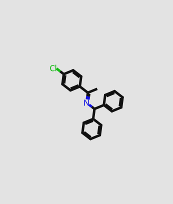 CC(=NC(c1ccccc1)c1ccccc1)c1ccc(Cl)cc1